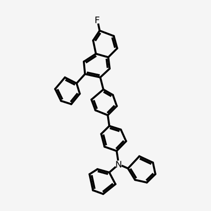 Fc1ccc2cc(-c3ccc(-c4ccc(N(c5ccccc5)c5ccccc5)cc4)cc3)c(-c3ccccc3)cc2c1